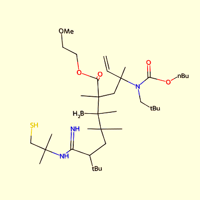 BC(C)(C(C)(C)CC(C(=N)NC(C)(C)CS)C(C)(C)C)C(C)(CC(C)(C=C)N(CC(C)(C)C)C(=O)OCCCC)C(=O)OCCOC